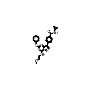 COCCNc1nc(Oc2ccccc2)nc2c(-c3ccc(C(=O)NC4CC4)cc3)cnn12